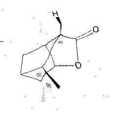 C[C@H]1C2OC(=O)[C@H]3C2CC1[C@@H]3C